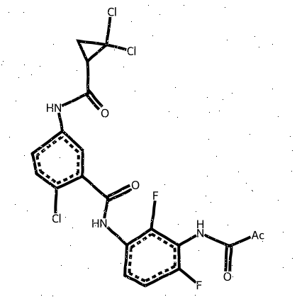 CC(=O)C(=O)Nc1c(F)ccc(NC(=O)c2cc(NC(=O)C3CC3(Cl)Cl)ccc2Cl)c1F